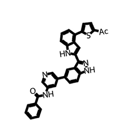 CC(=O)c1ccc(-c2cccc3[nH]c(-c4n[nH]c5ccc(-c6cncc(NC(=O)c7ccccc7)c6)cc45)cc23)s1